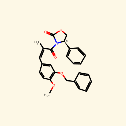 COc1ccc(C=C(C)C(=O)N2C(=O)OC[C@H]2c2ccccc2)cc1OCc1ccccc1